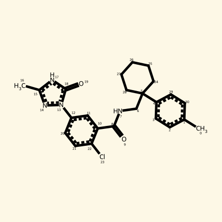 Cc1ccc(C2(CNC(=O)c3cc(-n4nc(C)[nH]c4=O)ccc3Cl)CCCCC2)cc1